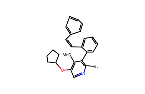 CCc1ncc(OC2CCCC2)c(OC)c1-c1ccccc1C=Cc1ccccc1